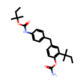 CCC(C)(C)OC(=O)Nc1ccc(Cc2ccc(OC(N)=O)c(C(C)(C)CC)c2)cc1